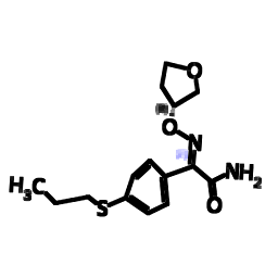 CCCSc1ccc(/C(=N\O[C@@H]2CCOC2)C(N)=O)cc1